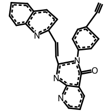 C#Cc1ccc(-n2c(C=Cc3ccc4ccccc4n3)nc3ncccc3c2=O)cc1